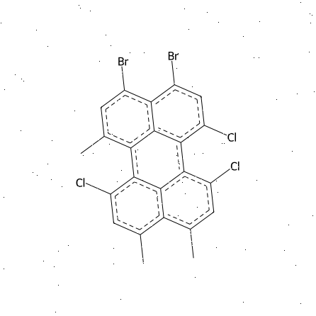 Cc1cc(Cl)c2c3c(C)cc(Br)c4c(Br)cc(Cl)c(c5c(Cl)cc(C)c1c25)c43